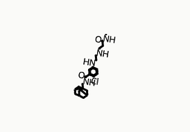 CNC(=O)CCNCCNc1ccc(Cl)c(C(=O)NCC23CC4CC(CC(C4)C2)C3)c1